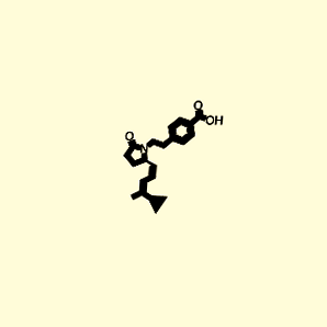 C/C(=C/C=C\[C@H]1CCC(=O)N1CCc1ccc(C(=O)O)cc1)C1CC1